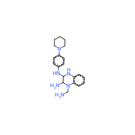 NCN1c2ccccc2NC(Nc2ccc(N3CCCCC3)cc2)C1N